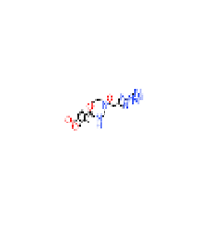 Cc1c([C@@H]2CNCCN(C(=O)Cc3cnc(-n4cnnn4)nc3)CCCO2)ccc2c1COC2=O